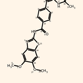 COc1cc2nc(NC(=O)c3ccc(/C(C)=N\NC(C)=N)cc3)sc2cc1OC